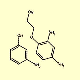 Nc1ccc(OCCO)c(N)c1.Nc1cccc(O)c1